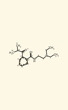 CCN(CC)CCNC(=O)c1ccccc1C(=O)C(C)C